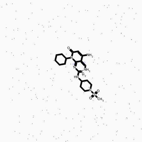 C=C(/N=C1\C(=C/N)C(N)=CC(=O)N1C1CCCCC1)NC1CCN(S(C)(=O)=O)CC1